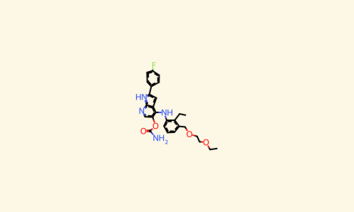 CCOCCOCc1cccc(Nc2c(OC(N)=O)cnc3[nH]c(-c4ccc(F)cc4)cc23)c1CC